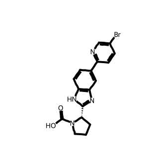 O=C(O)N1CCC[C@H]1c1nc2cc(-c3ccc(Br)cn3)ccc2[nH]1